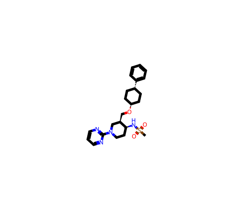 CS(=O)(=O)N[C@H]1CCN(c2ncccn2)C[C@H]1CO[C@H]1CC[C@@H](c2ccccc2)CC1